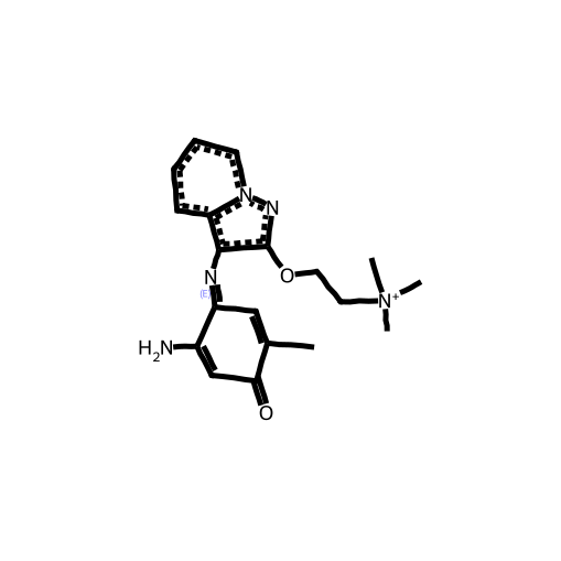 CC1=C/C(=N\c2c(OCC[N+](C)(C)C)nn3ccccc23)C(N)=CC1=O